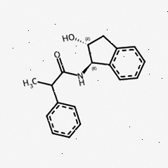 CC(C(=O)N[C@@H]1c2ccccc2C[C@H]1O)c1ccccc1